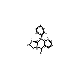 O=C1c2cccnc2N(c2ccccc2)C2=NCCN12